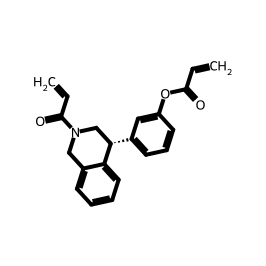 C=CC(=O)Oc1cccc([C@H]2CN(C(=O)C=C)Cc3ccccc32)c1